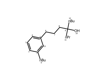 CCCCc1cccc(CCCC(O)(CCC)CCCC)c1